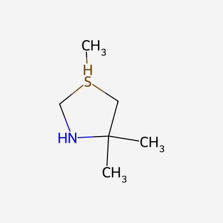 C[SH]1CNC(C)(C)C1